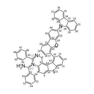 N/C(=N\C(=N/Cc1cccc2sc3cccc(-c4cccc5c4oc4cc(-n6c7ccccc7c7ccccc76)ccc45)c3c12)c1ccccc1)c1ccccc1